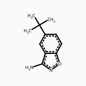 CC(C)(C)c1ccc2onc(N)c2c1